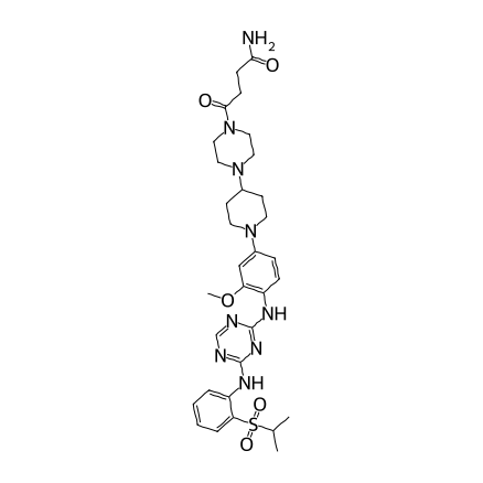 COc1cc(N2CCC(N3CCN(C(=O)CCC(N)=O)CC3)CC2)ccc1Nc1ncnc(Nc2ccccc2S(=O)(=O)C(C)C)n1